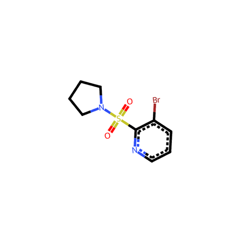 O=S(=O)(c1ncccc1Br)N1CCCC1